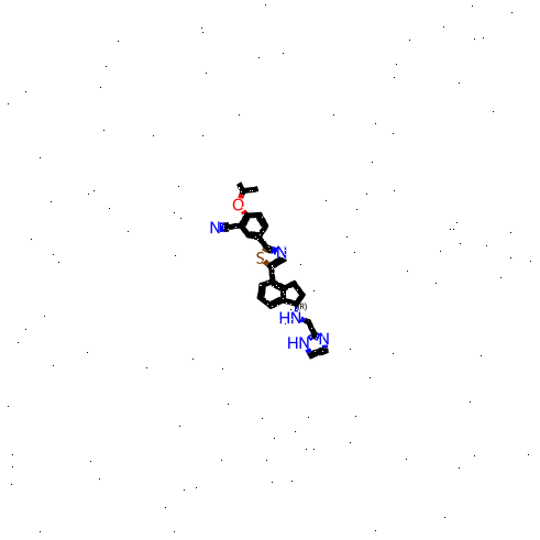 CC(C)Oc1ccc(-c2ncc(-c3cccc4c3CC[C@H]4NCc3ncc[nH]3)s2)cc1C#N